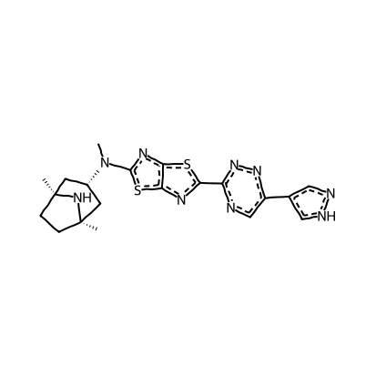 CN(c1nc2sc(-c3ncc(-c4cn[nH]c4)nn3)nc2s1)[C@H]1C[C@]2(C)CC[C@](C)(C1)N2